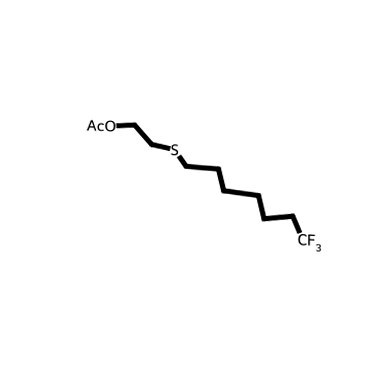 CC(=O)OCCSCCCCCCC(F)(F)F